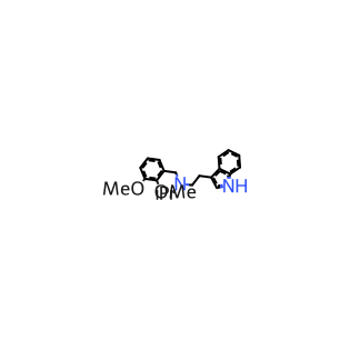 COc1cccc(CN(CCc2c[nH]c3ccccc23)C(C)C)c1OC